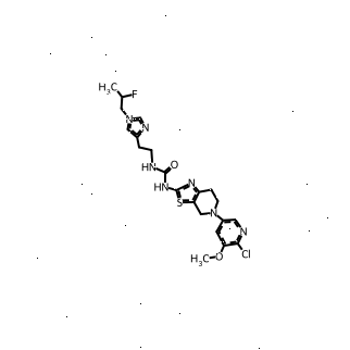 COc1cc(N2CCc3nc(NC(=O)NCCc4cn(CC(C)F)cn4)sc3C2)cnc1Cl